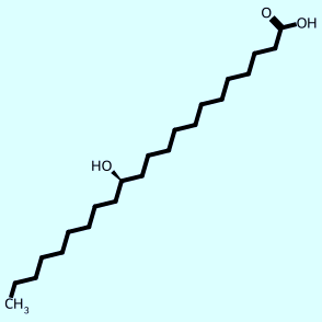 CCCCCCCCC[C@@H](O)CCCCCCCCCCCC(=O)O